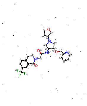 O=C(CN1CCc2ccc(C(F)(F)F)cc2C1=O)NC1CN(C2CCOC2)C[C@@H]1OCc1ccccn1